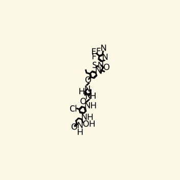 CCc1cc(N2C(=S)N(c3cnc(C#N)c(C(F)(F)F)c3)C(=O)C2(C)C)ccc1OCCN1C[C@H]2C[C@@H]1CN2CC(=O)Nc1cc(Cl)cc(NC2CCC(=O)N[C@@H]2O)c1